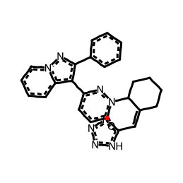 O=c1ccc(-c2c(-c3ccccc3)nn3ccccc23)nn1C1CCCC/C1=C/c1nnn[nH]1